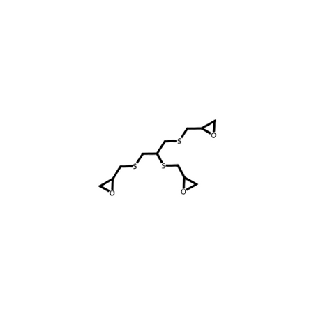 C1OC1CSCC(CSCC1CO1)SCC1CO1